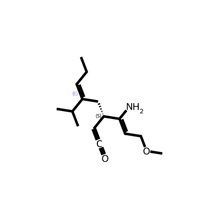 CC/C=C(\C[C@@H](C=C=O)C(N)=CCOC)C(C)C